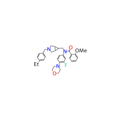 CCc1ccc(CN2CC3C(C2)C3CN(C(=O)c2ccccc2OC)c2ccc(N3CCOCC3)c(F)c2)cc1